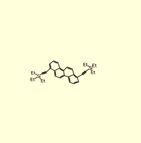 CC[Si](C#Cc1cccc2c1ccc1c3cccc(C#C[Si](CC)(CC)CC)c3ccc21)(CC)CC